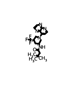 CC(C)(C)CC(=O)N[C@H]1C[C@@H](C(F)(F)F)CN(c2ccnc3nccnc23)C1